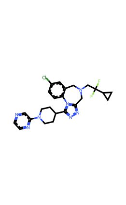 FC(F)(CN1Cc2cc(Cl)ccc2-n2c(nnc2C2CCN(c3cnccn3)CC2)C1)C1CC1